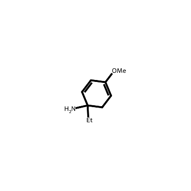 CCC1(N)C=CC(OC)=CC1